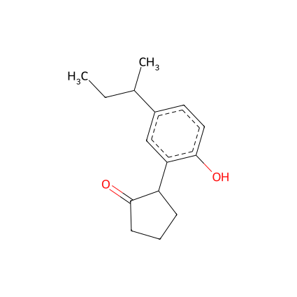 CCC(C)c1ccc(O)c(C2CCCC2=O)c1